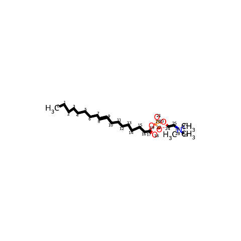 CCCCCCCCC=CCCCCCCCC(=O)OP(=O)([O-])OCC[N+](C)(C)C